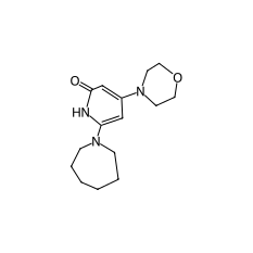 O=c1cc(N2CCOCC2)cc(N2CCCCCC2)[nH]1